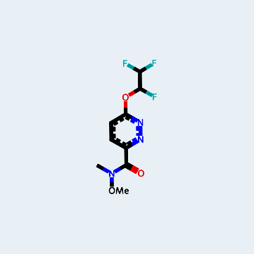 CON(C)C(=O)c1ccc(OC(F)C(F)F)nn1